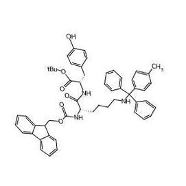 Cc1ccc(C(NCCCC[C@H](NC(=O)OCC2c3ccccc3-c3ccccc32)C(=O)N[C@@H](Cc2ccc(O)cc2)C(=O)OC(C)(C)C)(c2ccccc2)c2ccccc2)cc1